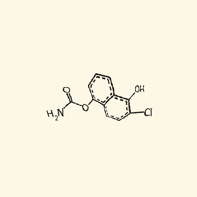 NC(=O)Oc1cccc2c(O)c(Cl)ccc12